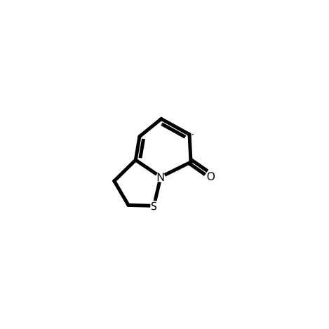 O=c1[c]ccc2n1SCC2